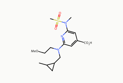 COCCN(CC1CC1C)c1cc(C(=O)O)cc(N(C)S(C)(=O)=O)n1